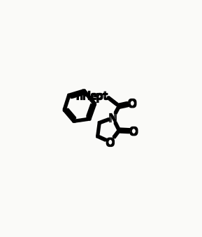 CCCCCCCC(=O)N1CCOC1=O.c1ccccc1